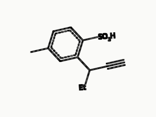 C#CC(CC)c1cc(C)ccc1S(=O)(=O)O